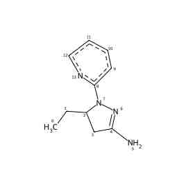 CCC1CC(N)=NN1c1ccccn1